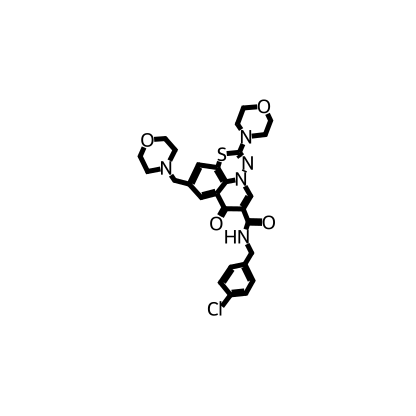 O=C(NCc1ccc(Cl)cc1)c1cn2c3c(cc(CN4CCOCC4)cc3c1=O)SC(N1CCOCC1)=N2